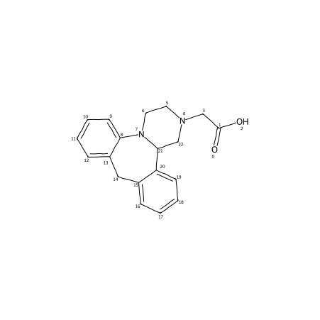 O=C(O)CN1CCN2c3ccccc3Cc3ccccc3C2C1